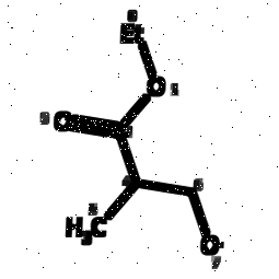 CCOC(=O)C(C)C[O]